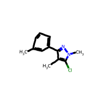 Cc1cccc(-c2nn(C)c(Cl)c2C)c1